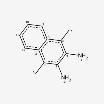 Cc1c(N)c(N)c(C)c2ccccc12